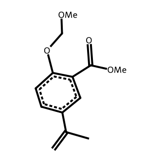 C=C(C)c1ccc(OCOC)c(C(=O)OC)c1